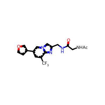 CC(=O)NCC(=O)NCc1cn2cc(-c3ccoc3)cc(C(F)(F)F)c2n1